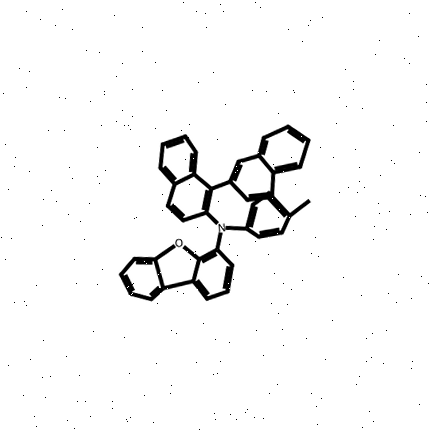 Cc1ccc(N(c2ccc3ccccc3c2-c2ccc3ccccc3c2)c2cccc3c2oc2ccccc23)cc1